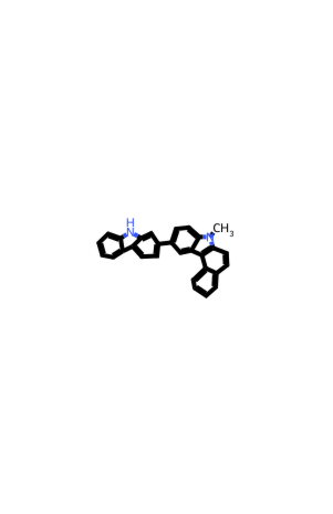 Cn1c2ccc(-c3ccc4c(c3)[nH]c3ccccc34)cc2c2c3ccccc3ccc21